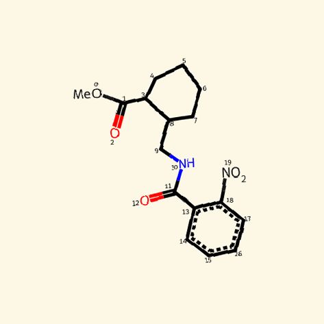 COC(=O)C1CCCCC1CNC(=O)c1ccccc1[N+](=O)[O-]